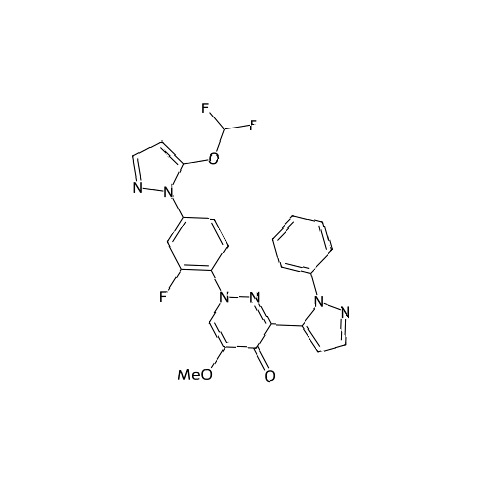 COc1cn(-c2ccc(-n3nccc3OC(F)F)cc2F)nc(-c2ccnn2-c2ccccc2)c1=O